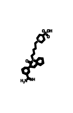 N=C(N)c1cccc(-c2cc3ccccc3n(CCCCCN3CCC(S(=O)(=O)O)CC3)c2=O)c1